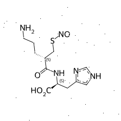 NCCC[C@H](CSN=O)C(=O)N[C@@H](Cc1c[nH]cn1)C(=O)O